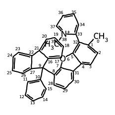 Cc1ccc2c(oc3c(C4(c5ccccc5)c5ccccc5-c5ccccc54)cccc32)c1-c1cccc[n+]1C